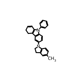 Cc1ccc2c(c1)CCN2c1ccc2c(c1)c1c(n2-c2ccccc2)C=CCC1